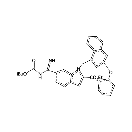 CCOC(=O)c1cc2ccc(C(=N)NC(=O)OCC(C)C)cc2n1Cc1cc(Oc2ccccc2)cc2ccccc12